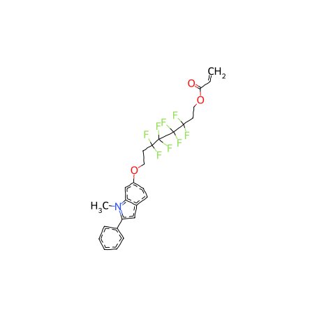 C=CC(=O)OCCC(F)(F)C(F)(F)C(F)(F)C(F)(F)CCOc1ccc2cc(-c3ccccc3)n(C)c2c1